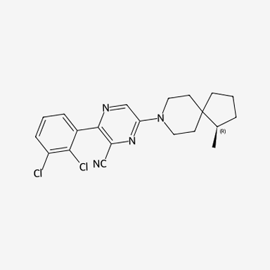 C[C@@H]1CCCC12CCN(c1cnc(-c3cccc(Cl)c3Cl)c(C#N)n1)CC2